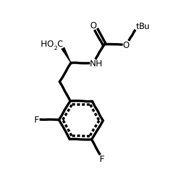 CC(C)(C)OC(=O)N[C@@H](Cc1ccc(F)cc1F)C(=O)O